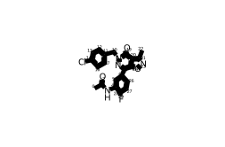 CC(=O)Nc1cc(-c2nn(Cc3ccc(Cl)cc3)c(=O)c3c(C)noc23)ccc1F